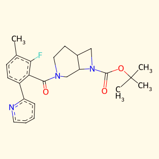 Cc1ccc(-c2ccccn2)c(C(=O)N2CCC3CN(C(=O)OC(C)(C)C)C3C2)c1F